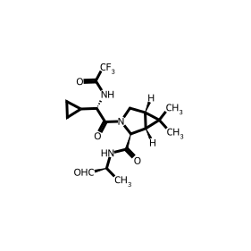 C[C@@H](C=O)NC(=O)[C@@H]1[C@@H]2[C@H](CN1C(=O)[C@@H](NC(=O)C(F)(F)F)C1CC1)C2(C)C